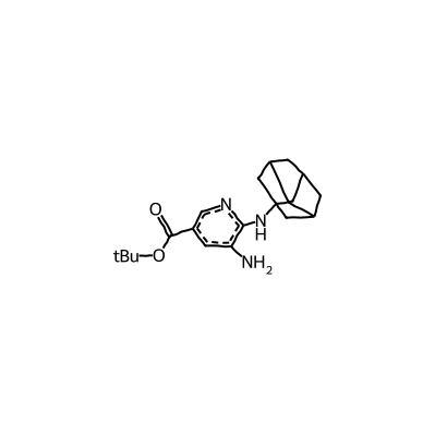 CC(C)(C)OC(=O)c1cnc(NC23CC4CC(CC(C4)C2)C3)c(N)c1